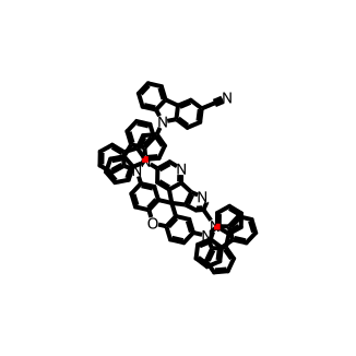 N#Cc1ccc2c(c1)c1ccccc1n2-c1ccc2c(c1)c1ccccc1n2-c1ccc2c(c1)C1(c3cc(-n4c5ccccc5c5ccccc54)ccc3O2)c2cc(-n3c4ccccc4c4ccccc43)cnc2-c2ncc(-n3c4ccccc4c4ccccc43)cc21